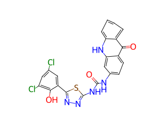 O=C(Nc1ccc2c(=O)c3ccccc3[nH]c2c1)Nc1nnc(-c2cc(Cl)cc(Cl)c2O)s1